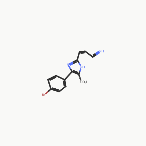 N=C/C=C\c1nc(-c2ccc(Br)cc2)c(C(=O)O)[nH]1